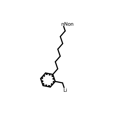 [Li][CH2]c1ccccc1CCCCCCCCCCCCCCCC